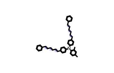 Cc1ccc(N(c2ccc(/C=C/C=C/C=C/c3ccccc3)cc2)c2ccc(/C=C/C=C/C=C/c3ccccc3)cc2)c(C)c1